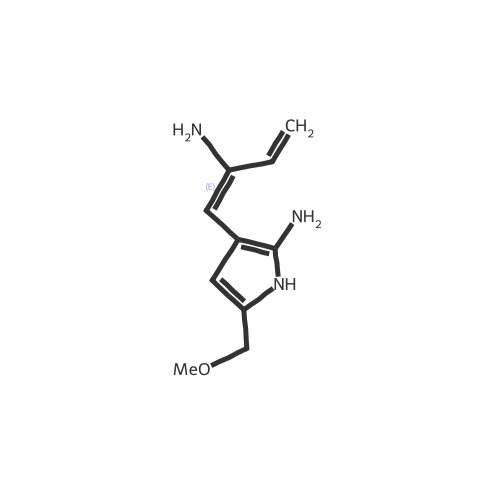 C=C/C(N)=C\c1cc(COC)[nH]c1N